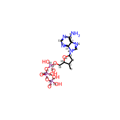 CC1CC(n2cnc3c(N)ncnc32)OC1COP(=O)(O)OP(=O)(O)OP(=O)(O)O